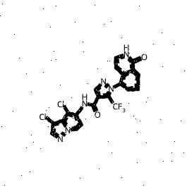 O=C(Nc1ccn2ncc(Cl)c2c1Cl)c1cnn(-c2cccc3c(=O)[nH]ccc23)c1C(F)(F)F